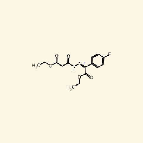 CCOC(=O)CC(=O)N/N=C(\C(=O)OCC)c1ccc(F)cc1